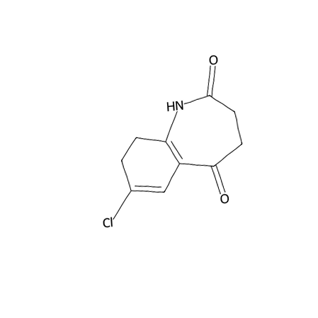 O=C1CCC(=O)C2=C(CCC(Cl)=C2)N1